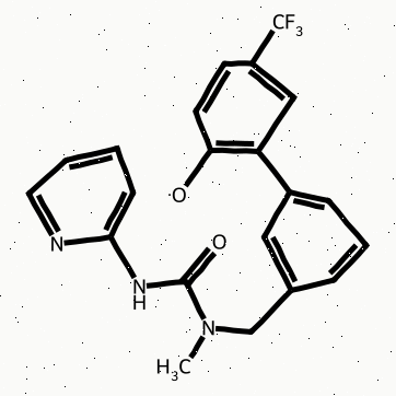 CN(Cc1cccc(-c2cc(C(F)(F)F)ccc2[O])c1)C(=O)Nc1ccccn1